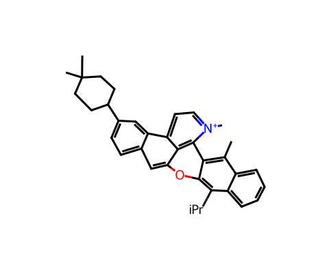 Cc1c2c(c(C(C)C)c3ccccc13)Oc1cc3ccc(C4CCC(C)(C)CC4)cc3c3cc[n+](C)c-2c13